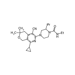 CCNC(=O)N1CCN(c2nc(C3CC3)c3c(c2C#N)CC(C)(C)OC3)CC1C(C)C